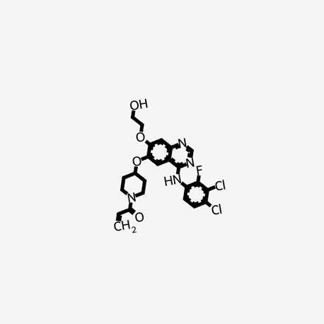 C=CC(=O)N1CCC(Oc2cc3c(Nc4ccc(Cl)c(Cl)c4F)ncnc3cc2OCCO)CC1